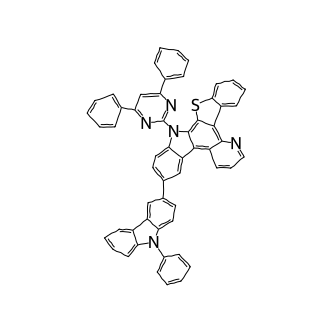 c1ccc(-c2cc(-c3ccccc3)nc(-n3c4ccc(-c5ccc6c(c5)c5ccccc5n6-c5ccccc5)cc4c4c5cccnc5c5c6ccccc6sc5c43)n2)cc1